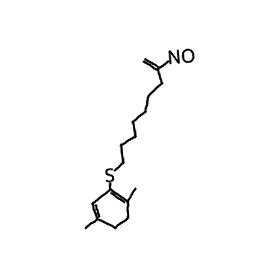 C=C(CCCCCCCSC1=C(C)CCC(C)=C1)N=O